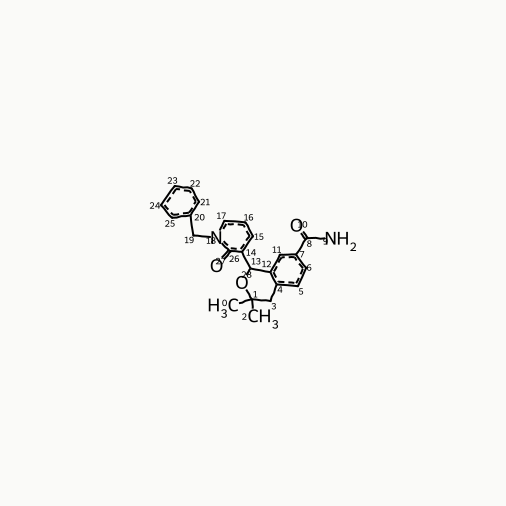 CC1(C)Cc2ccc(C(N)=O)cc2C(c2cccn(Cc3ccccc3)c2=O)O1